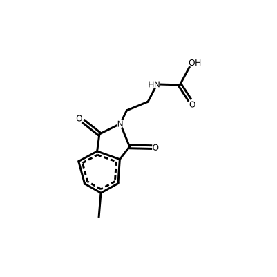 Cc1ccc2c(c1)C(=O)N(CCNC(=O)O)C2=O